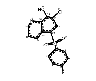 O=S(=O)(c1ccc(F)cc1)c1cc(Cl)c(O)c2ncccc12